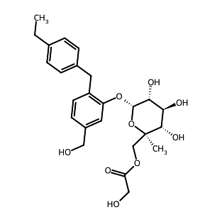 CCc1ccc(Cc2ccc(CO)cc2O[C@H]2O[C@](C)(COC(=O)CO)[C@@H](O)[C@H](O)[C@H]2O)cc1